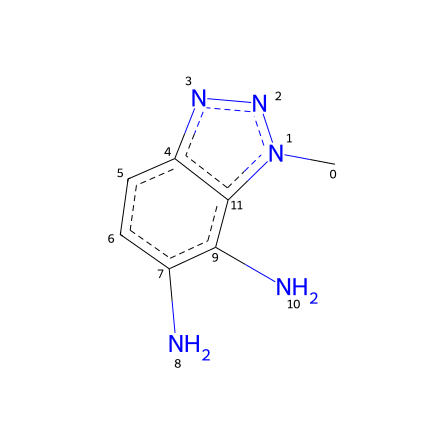 Cn1nnc2ccc(N)c(N)c21